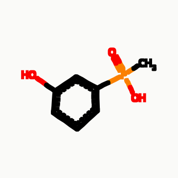 CP(=O)(O)c1cccc(O)c1